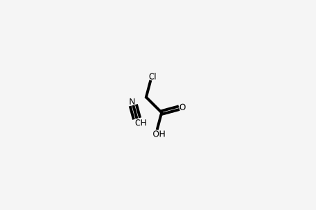 C#N.O=C(O)CCl